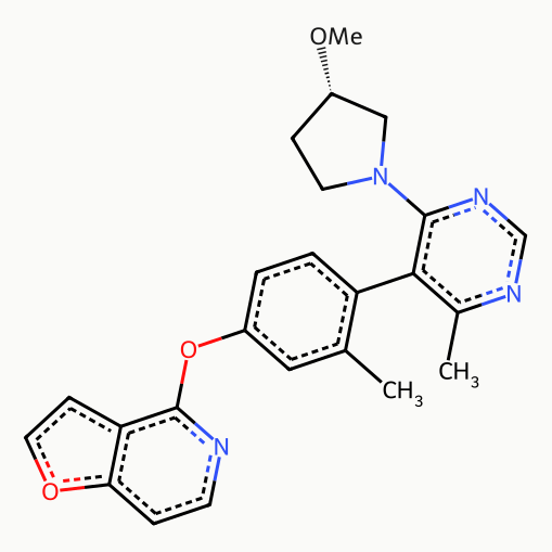 CO[C@H]1CCN(c2ncnc(C)c2-c2ccc(Oc3nccc4occc34)cc2C)C1